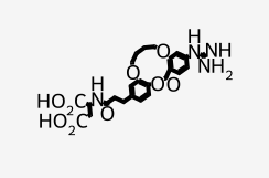 N=C(N)Nc1ccc2c(c1)OCCCCOc1cc(CCC(=O)NC(CC(=O)O)C(=O)O)ccc1OC2=O